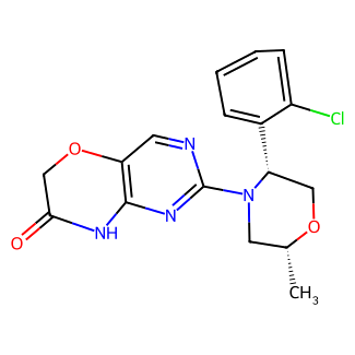 C[C@@H]1CN(c2ncc3c(n2)NC(=O)CO3)[C@H](c2ccccc2Cl)CO1